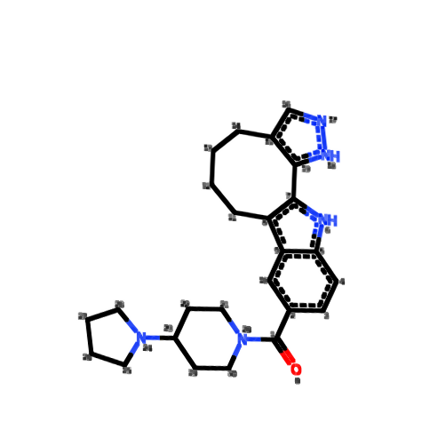 O=C(c1ccc2[nH]c3c(c2c1)CCCCc1cn[nH]c1-3)N1CCC(N2CCCC2)CC1